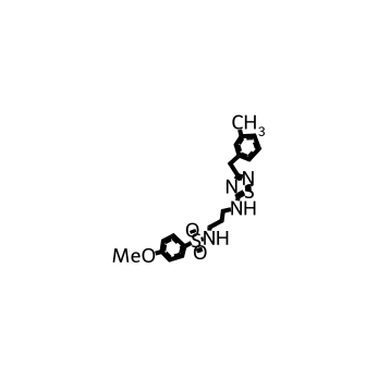 COc1ccc(S(=O)(=O)NCCCNc2nc(Cc3cccc(C)c3)ns2)cc1